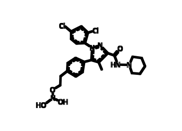 Cc1c(C(=O)NN2CCCCC2)nn(-c2ccc(Cl)cc2Cl)c1-c1ccc(CCON(O)O)cc1